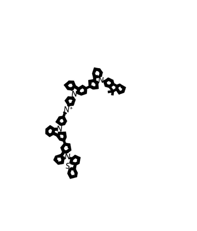 CC1(C)c2ccccc2-c2ccc(-n3c4ccccc4c4cc(-c5ccc6c(c5)c5ccccc5n6-c5ccc([N+]#Cc6ccc(-n7c8ccccc8c8cc(-c9ccc%10c(c9)c9ccccc9n%10-c9cccc%10c9sc9ccccc9%10)ccc87)cc6)cc5)ccc43)cc21